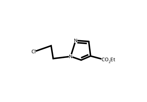 CCOC(=O)c1cnn(CCCl)c1